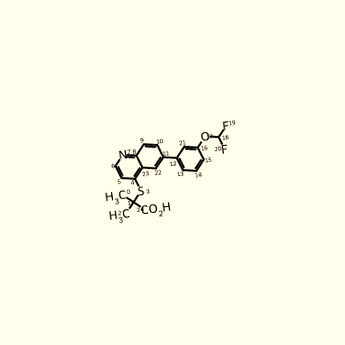 CC(C)(Sc1ccnc2ccc(-c3cccc(OC(F)F)c3)cc12)C(=O)O